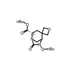 CCCCOC(=O)[C@@H]1CC2(COC2)C2CN1C(=O)N2OCCCC